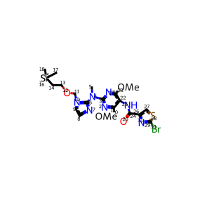 COc1nc(N(C)c2nccn2COCC[Si](C)(C)C)nc(OC)c1NC(=O)c1csc(Br)n1